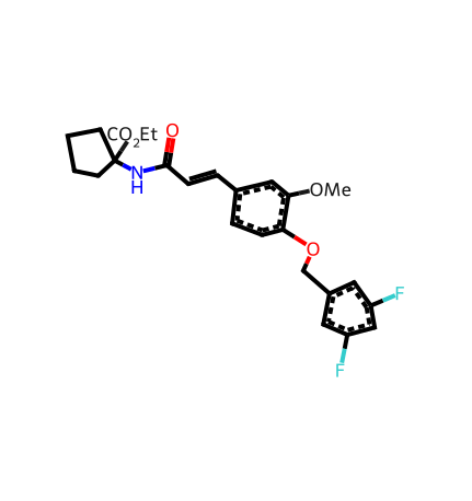 CCOC(=O)C1(NC(=O)/C=C/c2ccc(OCc3cc(F)cc(F)c3)c(OC)c2)CCCC1